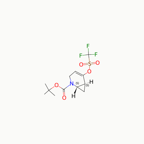 CC(C)(C)OC(=O)N1CC=C(OS(=O)(=O)C(F)(F)F)[C@H]2C[C@@H]21